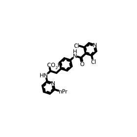 CCCc1cccc(NC(Cc2ccc(NC(=O)c3c(Cl)cncc3Cl)cc2)C(=O)O)n1